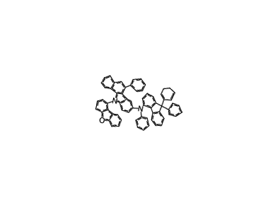 C1=CC(C2(c3ccccc3)c3ccccc3-c3c(N(c4ccccc4)c4ccc5c(c4)c4c(-c6ccccc6)cc6ccccc6c4n5-c4cccc5oc6ccccc6c45)cccc32)=CCC1